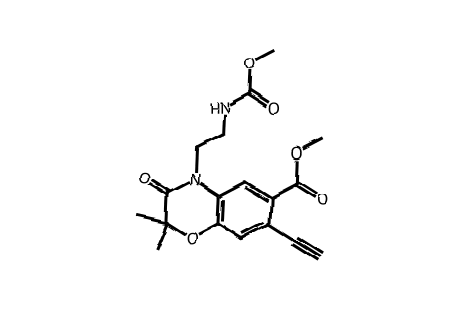 C#Cc1cc2c(cc1C(=O)OC)N(CCNC(=O)OC)C(=O)C(C)(C)O2